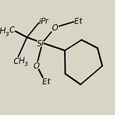 CCO[Si](OCC)(C1CCCCC1)C(C)(C)C(C)C